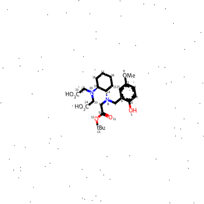 COc1ccc(O)c(CN(CC(=O)OC(C)(C)C)[C@H]2CCCC[C@@H]2N(CC(=O)O)CC(=O)O)c1